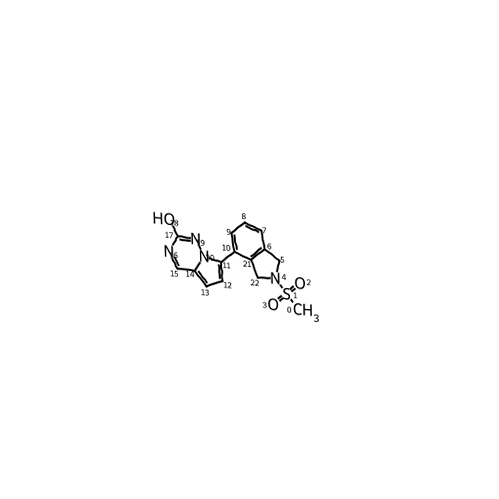 CS(=O)(=O)N1Cc2cccc(-c3ccc4cnc(O)nn34)c2C1